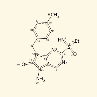 CCS(=N)(=O)c1ncc2c(n1)n(Cc1ccc(C)cc1)c(=O)n2N